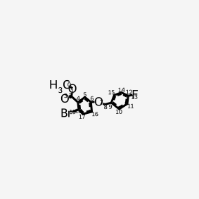 COC(=O)c1cc(OCc2ccc(F)cc2)ccc1Br